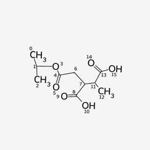 CC(C)OC(=O)CC(C(=O)O)C(C)C(=O)O